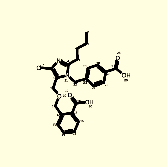 CCCCc1nc(Cl)c(COCc2ccccc2C(=O)O)n1Cc1ccc(C(=O)O)cc1